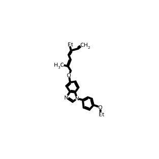 C=C/C(=C\C=C(/C)COc1ccc2c(c1)ncn2-c1ccc(OCC)cc1)CC